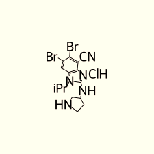 CC(C)n1c(N[C@@H]2CCNC2)nc2c(C#N)c(Br)c(Br)cc21.Cl